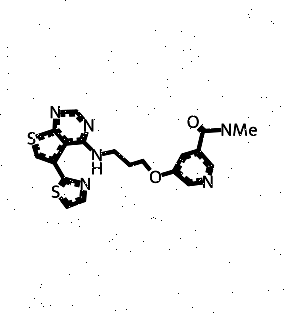 CNC(=O)c1cncc(OCCCNc2ncnc3scc(-c4nccs4)c23)c1